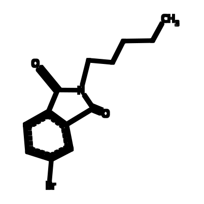 CCCCCN1C(=O)c2ccc(Br)cc2C1=O